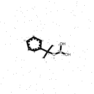 CC(C)(OP(O)O)c1ccccc1